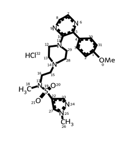 COc1ccc(-c2nccnc2N2CCN(CCN(C)S(=O)(=O)c3cnn(C)c3)CC2)cc1.Cl